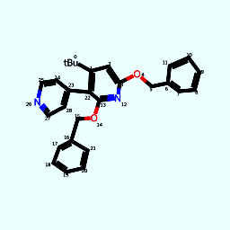 CC(C)(C)c1cc(OCc2ccccc2)nc(OCc2ccccc2)c1-c1ccncc1